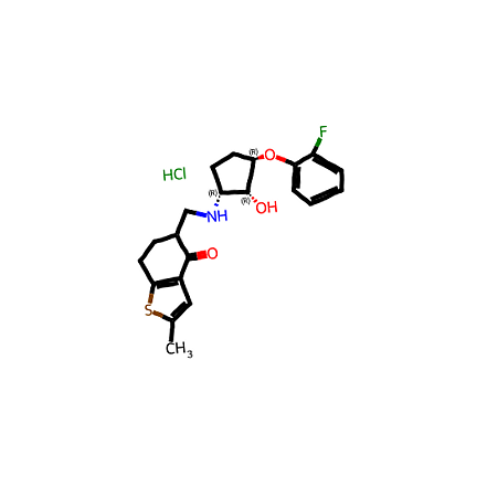 Cc1cc2c(s1)CCC(CN[C@@H]1CC[C@@H](Oc3ccccc3F)[C@@H]1O)C2=O.Cl